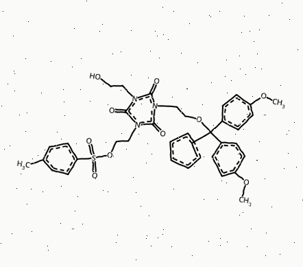 COc1ccc(C(OCCn2c(=O)n(CCO)c(=O)n(CCOS(=O)(=O)c3ccc(C)cc3)c2=O)(c2ccccc2)c2ccc(OC)cc2)cc1